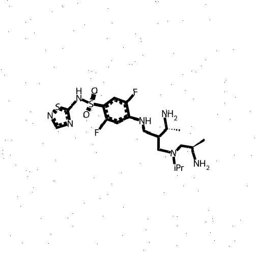 CC(C)N(CC(CNc1cc(F)c(S(=O)(=O)Nc2ncns2)cc1F)[C@@H](C)N)C[C@@H](C)N